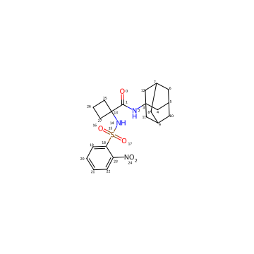 O=C(NC12CC3CC(CC(C3)C1)C2)C1(NS(=O)(=O)c2ccccc2[N+](=O)[O-])CCC1